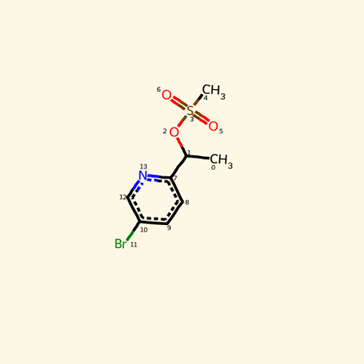 CC(OS(C)(=O)=O)c1ccc(Br)cn1